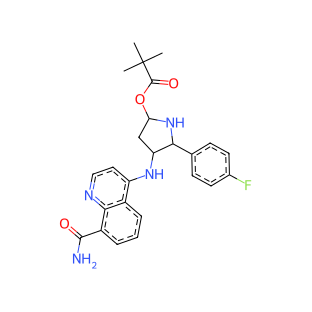 CC(C)(C)C(=O)OC1CC(Nc2ccnc3c(C(N)=O)cccc23)C(c2ccc(F)cc2)N1